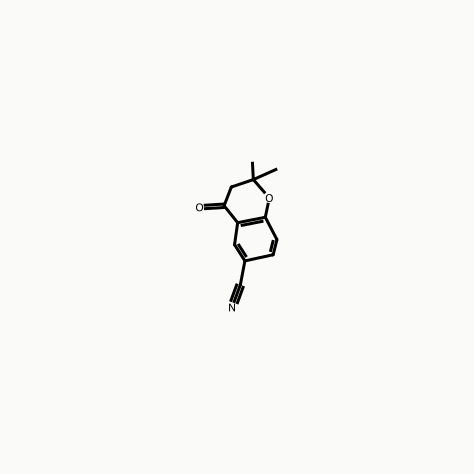 CC1(C)CC(=O)c2cc(C#N)ccc2O1